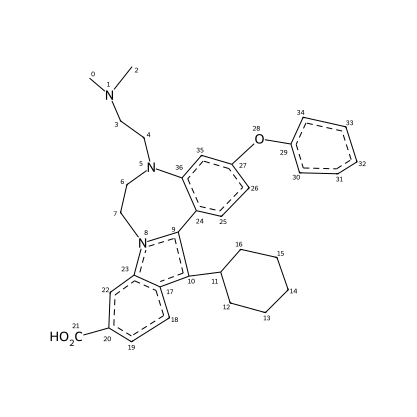 CN(C)CCN1CCn2c(c(C3CCCCC3)c3ccc(C(=O)O)cc32)-c2ccc(Oc3ccccc3)cc21